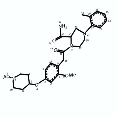 COc1cc(OC2CCN(C(C)=O)CC2)ccc1CC(=O)N1CCN(c2ccccc2C)CC1C(N)=O